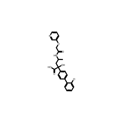 CC(CC(O)(C(=O)O)c1ccc(-c2ccccc2Cl)cc1)NC(=O)COc1cccnc1